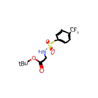 CC(C)(C)OC(=O)CNS(=O)(=O)c1ccc(C(F)(F)F)cc1